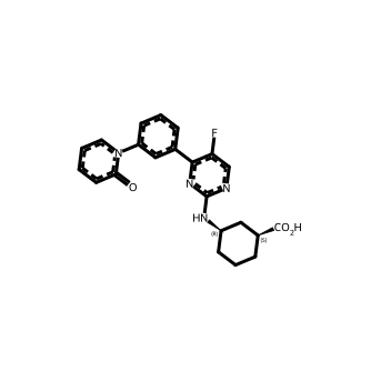 O=C(O)[C@H]1CCC[C@@H](Nc2ncc(F)c(-c3cccc(-n4ccccc4=O)c3)n2)C1